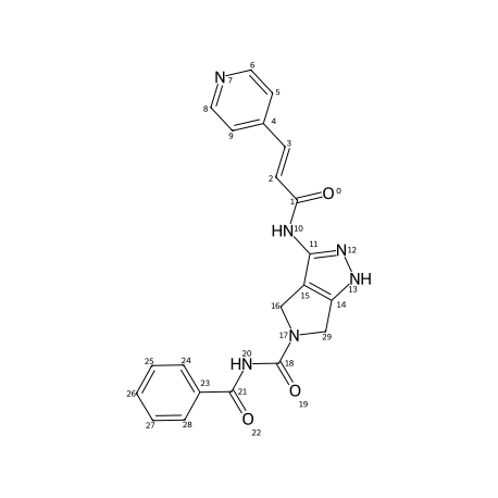 O=C(C=Cc1ccncc1)Nc1n[nH]c2c1CN(C(=O)NC(=O)c1ccccc1)C2